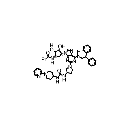 CCC(=O)N[C@H]1C[C@@H](n2cnc3c(NCC(c4ccccc4)c4ccccc4)nc(N4CCC(NC(=O)NC5CCN(c6ccccn6)CC5)C4)nc32)C(O)C1O